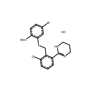 COc1ccc(Br)cc1SCc1c(Cl)cccc1C1=NCCCN1.Cl